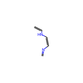 C=CN/C=C\N=C